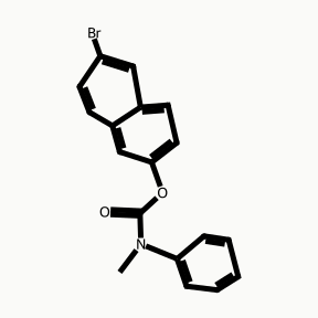 CN(C(=O)Oc1ccc2cc(Br)ccc2c1)c1ccccc1